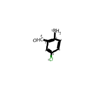 Bc1ccc(Cl)cc1C=O